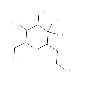 CCCC1OC(CO)C(O)C(O)C1(C)O